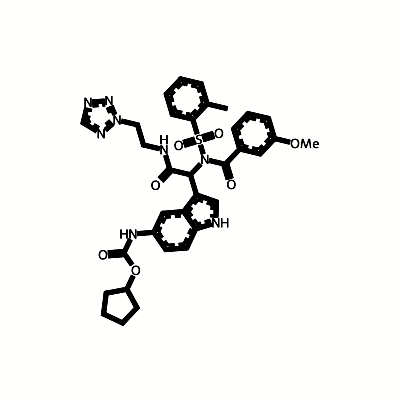 COc1cccc(C(=O)N(C(C(=O)NCCn2ncnn2)c2c[nH]c3ccc(NC(=O)OC4CCCC4)cc23)S(=O)(=O)c2ccccc2C)c1